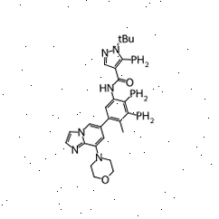 Cc1c(-c2cc(N3CCOCC3)c3nccn3c2)cc(NC(=O)c2cnn(C(C)(C)C)c2P)c(P)c1P